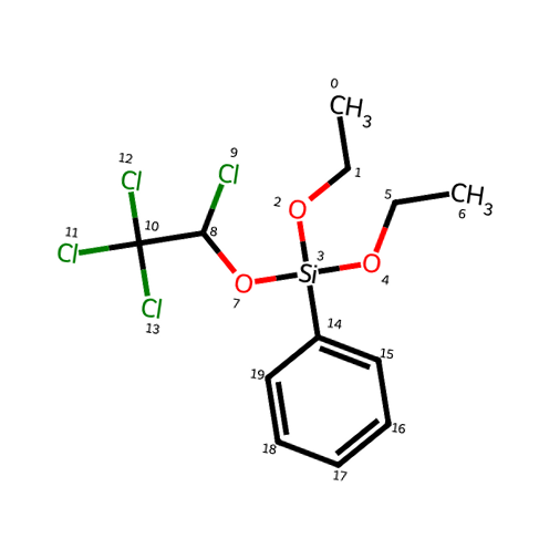 CCO[Si](OCC)(OC(Cl)C(Cl)(Cl)Cl)c1ccccc1